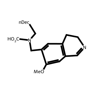 CCCCCCCCCCCN(Cc1cc2c(cc1OC)C=NCC2)C(=O)O